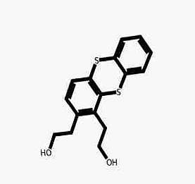 OCCc1ccc2c(c1CCO)Sc1ccccc1S2